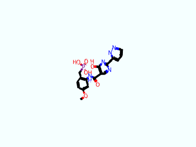 COc1ccc(CP(=O)(O)O)c(NC(=O)c2cnc(-c3cccnn3)nc2O)c1